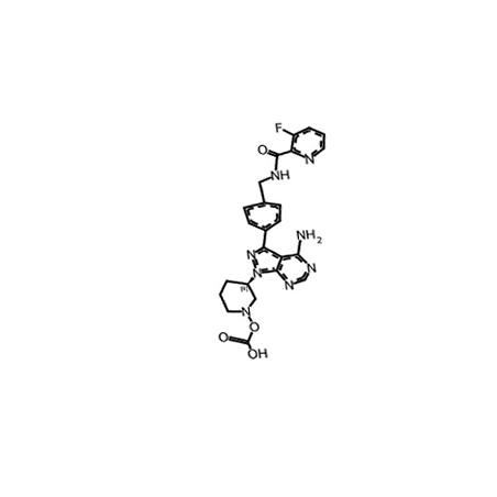 Nc1ncnc2c1c(-c1ccc(CNC(=O)c3ncccc3F)cc1)nn2[C@@H]1CCCN(OC(=O)O)C1